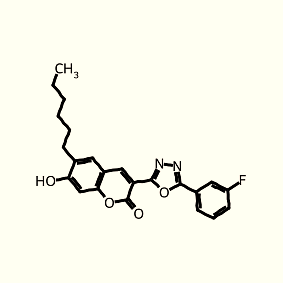 CCCCCCc1cc2cc(-c3nnc(-c4cccc(F)c4)o3)c(=O)oc2cc1O